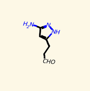 Nc1cc(CCC=O)[nH]n1